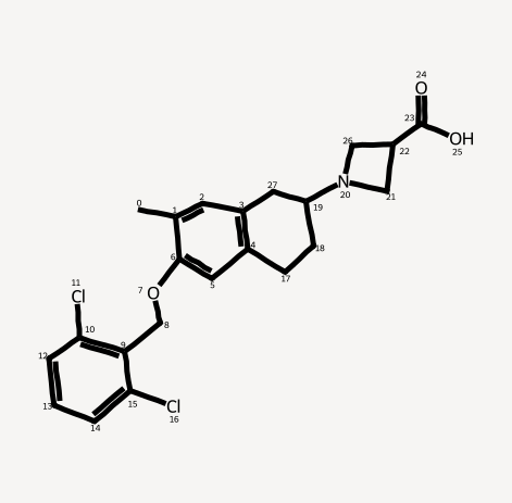 Cc1cc2c(cc1OCc1c(Cl)cccc1Cl)CCC(N1CC(C(=O)O)C1)C2